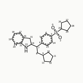 O=S(=O)(c1ccc(C(CC2CCCC2)C2Cc3cccnc3N2)cc1)C1CCCC1